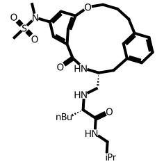 CCCC[C@H](NC[C@H]1Cc2cccc(c2)CCCOc2cc(cc(N(C)S(C)(=O)=O)c2)C(=O)N1)C(=O)NCC(C)C